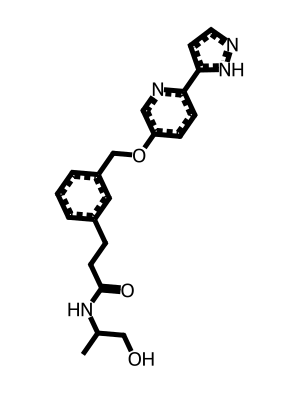 CC(CO)NC(=O)CCc1cccc(COc2ccc(-c3ccn[nH]3)nc2)c1